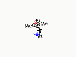 CCNCC(C)(C)CC[Si](OC)(OC)OCC